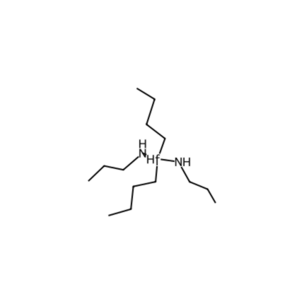 CCC[CH2][Hf]([CH2]CCC)([NH]CCC)[NH]CCC